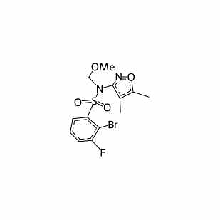 COCN(c1noc(C)c1C)S(=O)(=O)c1cccc(F)c1Br